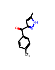 Cc1cc(C(=O)c2ccc(C(F)(F)F)cc2)n[nH]1